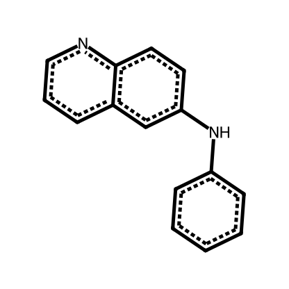 c1ccc(Nc2ccc3ncccc3c2)cc1